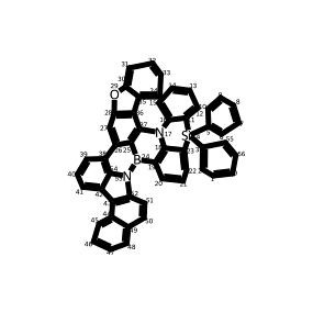 c1ccc([Si]2(c3ccccc3)c3ccccc3N3c4c(cccc42)B2c4c(cc5oc6ccccc6c5c43)-c3cccc4c5c6ccccc6ccc5n2c34)cc1